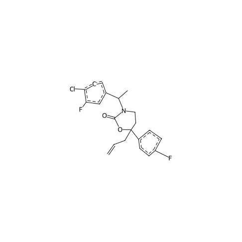 C=CCC1(c2ccc(F)cc2)CCN(C(C)c2ccc(Cl)c(F)c2)C(=O)O1